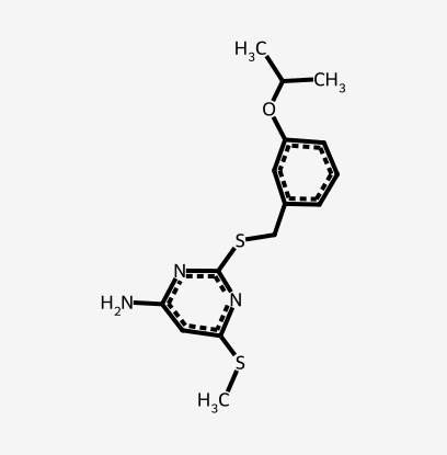 CSc1cc(N)nc(SCc2cccc(OC(C)C)c2)n1